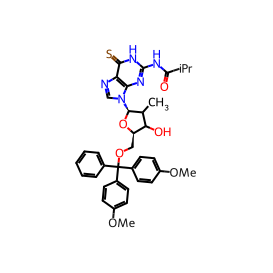 COc1ccc(C(OC[C@H]2O[C@@H](n3cnc4c(=S)[nH]c(NC(=O)C(C)C)nc43)C(C)C2O)(c2ccccc2)c2ccc(OC)cc2)cc1